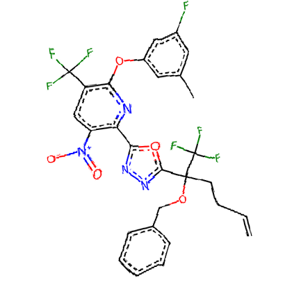 C=CCCC(OCc1ccccc1)(c1nnc(-c2nc(Oc3cc(C)cc(F)c3)c(C(F)(F)F)cc2[N+](=O)[O-])o1)C(F)(F)F